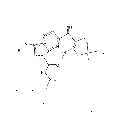 CNC1=C(C(=N)c2cnc3c(n2)c(C(=O)NC(C)C)cn3SF)CCC(C)(C)C1